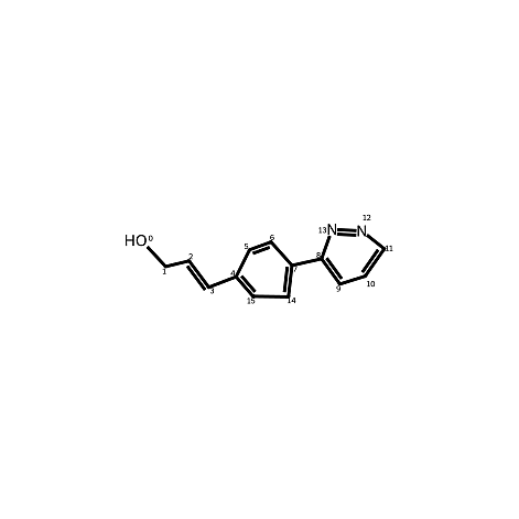 OCC=Cc1ccc(-c2cccnn2)cc1